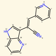 N#C/C(=C\c1cccnc1)c1c[nH]c2cccnc12